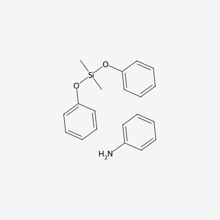 C[Si](C)(Oc1ccccc1)Oc1ccccc1.Nc1ccccc1